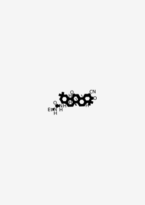 CCNC(=O)N[C@@H]1CC(C)(C)C[C@H]2[C@@H]1CC[C@]1(C)[C@@H]2C(=O)C=C2[C@@]3(C)C=C(C#N)C(=O)C(C)(C)[C@@H]3CC[C@]21C